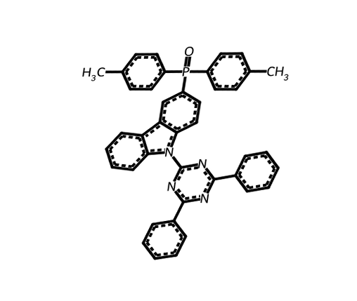 Cc1ccc(P(=O)(c2ccc(C)cc2)c2ccc3c(c2)c2ccccc2n3-c2nc(-c3ccccc3)nc(-c3ccccc3)n2)cc1